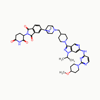 COC1CCN(c2nccc(Nc3cc4c(cn3)c(N3CCC(CN5CC6CCC5CN6c5ccc6c(c5)C(=O)N(C5CCC(=O)NC5=O)C6=O)CC3)nn4C(C)C)n2)CC1